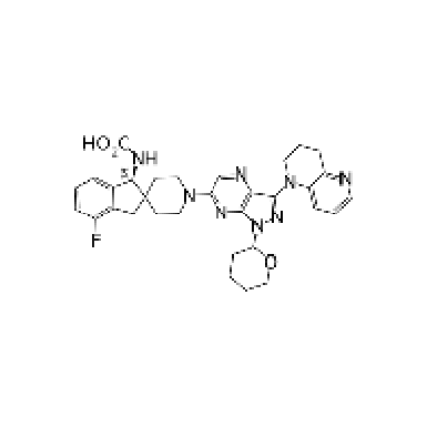 O=C(O)N[C@@H]1c2cccc(F)c2CC12CCN(c1cnc3c(N4CCCc5ncccc54)nn(C4CCCCO4)c3n1)CC2